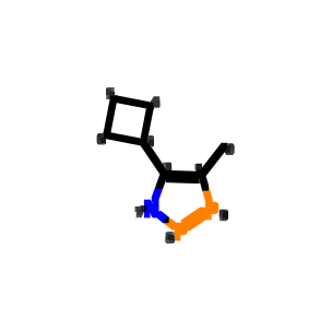 CC1=C(C2CCC2)[N]P=P1